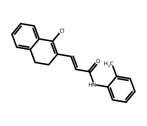 Cc1ccccc1NC(=O)C=CC1=C(Cl)c2ccccc2CC1